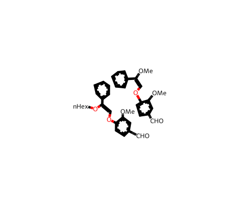 CCCCCCOC(=COc1ccc(C=O)cc1OC)c1ccccc1.COC(=COc1ccc(C=O)cc1OC)c1ccccc1